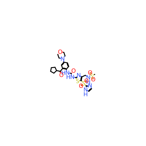 CS(=O)(=O)NCc1nc(NC(=O)Nc2ccc(N3CCOCC3)cc2C(=O)C2CCCC2)sc1S(=O)(=O)c1ncc[nH]1